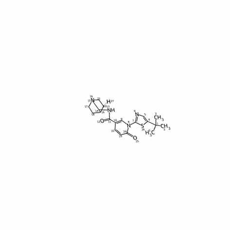 CC(C)(C)c1cnc(-n2cc(C(=O)N[C@@H]3CN4CCC3CC4)ccc2=O)s1